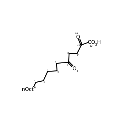 CCCCCCCCCCCCCC(=O)CCC(=O)C(=O)O